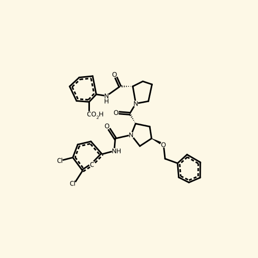 O=C(O)c1ccccc1NC(=O)[C@@H]1CCCN1C(=O)[C@@H]1C[C@@H](OCc2ccccc2)CN1C(=O)Nc1ccc(Cl)c(Cl)c1